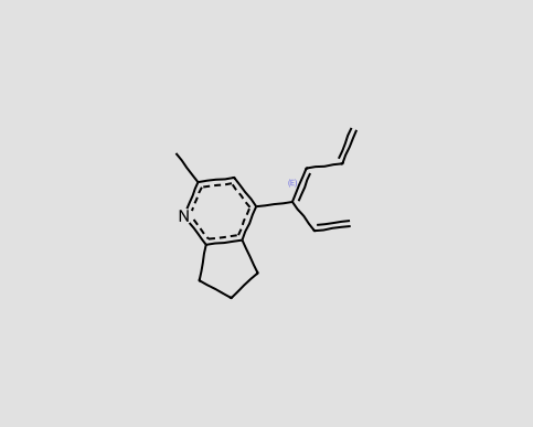 C=C/C=C(\C=C)c1cc(C)nc2c1CCC2